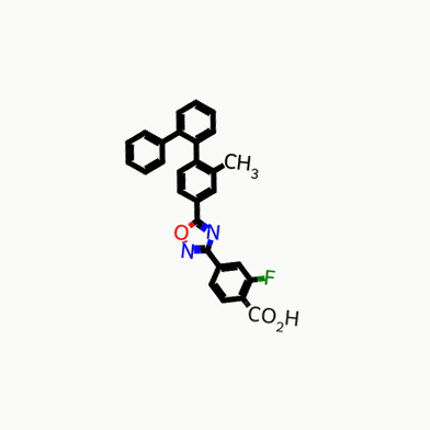 Cc1cc(-c2nc(-c3ccc(C(=O)O)c(F)c3)no2)ccc1-c1ccccc1-c1ccccc1